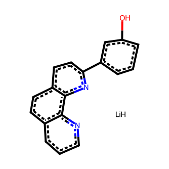 Oc1cccc(-c2ccc3ccc4cccnc4c3n2)c1.[LiH]